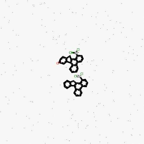 [Cl][Zr+]([Cl])[c]1cccc2c1c1c(c3ccccc32)-c2ccccc2C1.[Cl][Zr+]([Cl])[c]1cccc2c1c1c(c3ccccc32)-c2ccccc2C1.[O-2]